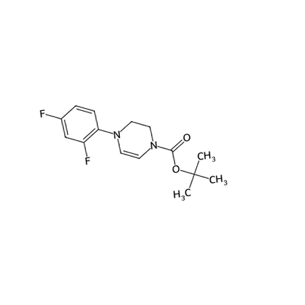 CC(C)(C)OC(=O)N1C=CN(c2ccc(F)cc2F)CC1